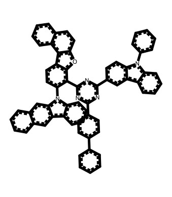 c1ccc(-c2ccc(-c3nc(-c4ccc5c(c4)c4ccccc4n5-c4ccccc4)nc(-c4c(-n5c6ccccc6c6cc7ccccc7cc65)ccc5c4oc4ccc6ccccc6c45)n3)cc2)cc1